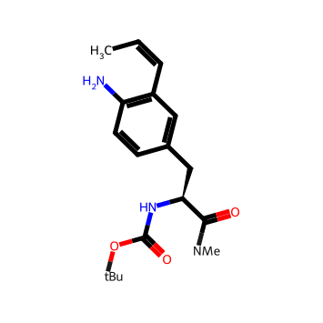 C/C=C\c1cc(C[C@H](NC(=O)OC(C)(C)C)C(=O)NC)ccc1N